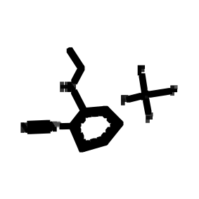 CCNc1ccccc1[N+]#N.F[B-](F)(F)F